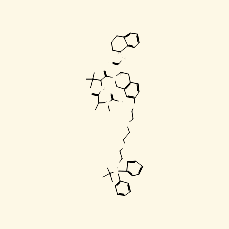 CC(C(=O)NC(C(=O)N1Cc2cc(OCCOCCOCCO[Si](c3ccccc3)(c3ccccc3)C(C)(C)C)ccc2C[C@H]1C(=O)N[C@@H]1CCCc2ccccc21)C(C)(C)C)N(C)C(=O)O